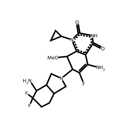 COC1c2c(c(=O)[nH]c(=O)n2C2CC2)C(N)=C(F)C1N1CC2CCC(F)(F)C(N)C2C1